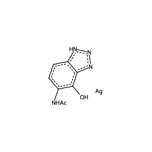 CC(=O)Nc1ccc2[nH]nnc2c1O.[Ag]